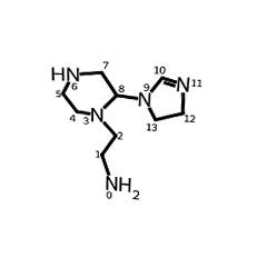 NCCN1CCNCC1N1C=NCC1